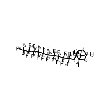 CC1(C)[C@H]2CC[C@H](CC(F)(F)C(F)(F)C(F)(F)C(F)(F)C(F)(F)C(F)(F)C(F)(F)C(F)(F)C(F)(F)C(F)(F)F)[C@@H]1C2